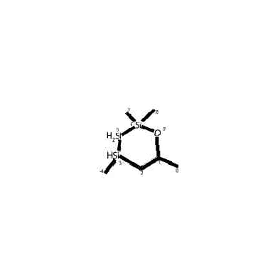 CC1C[SiH](C)[SiH2][Si](C)(C)O1